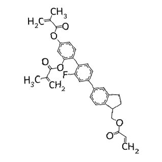 C=CC(=O)OCC1CCc2cc(-c3ccc(-c4ccc(OC(=O)C(=C)C)cc4OC(=O)C(=C)C)c(F)c3)ccc21